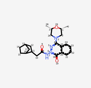 C[C@@H]1CN(c2nn(NC(=O)CC3CC4CCC3C4)c(=O)c3ccccc23)C[C@H](C)O1